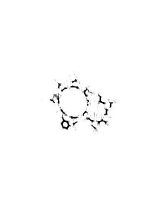 CC(C)C[C@@H]1NC(=O)[C@@H](Cc2ccccc2)NC(=O)[C@H](CCN)NC(=O)[C@@H](NC(=O)[C@H](CCN)NC(=O)[C@@H](NC(=O)[C@H](CCN)NC(=O)[C@@H](N)CS)[C@@H](C)O)CCNC(=O)C([C@@H](C)O)NC(=O)[C@H](CCN)NC(=O)[C@H](CCN)NC1=O